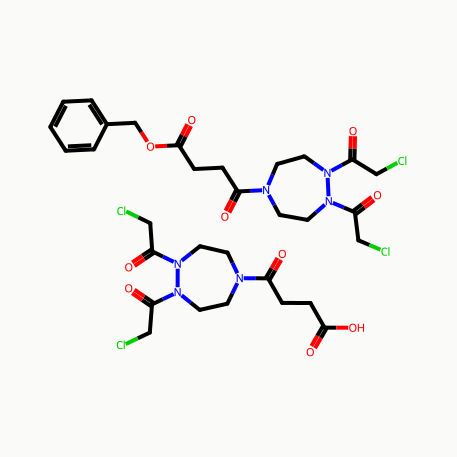 O=C(CCC(=O)N1CCN(C(=O)CCl)N(C(=O)CCl)CC1)OCc1ccccc1.O=C(O)CCC(=O)N1CCN(C(=O)CCl)N(C(=O)CCl)CC1